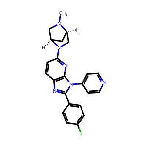 CN1C[C@H]2C[C@@H]1CN2c1ccc2nc(-c3ccc(F)cc3)n(-c3ccncc3)c2n1